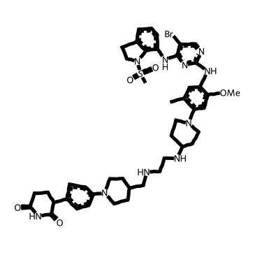 COc1cc(N2CCC(NCCNCC3CCN(c4ccc(C5CCC(=O)NC5=O)cc4)CC3)CC2)c(C)cc1Nc1ncc(Br)c(Nc2cccc3c2N(S(C)(=O)=O)CC3)n1